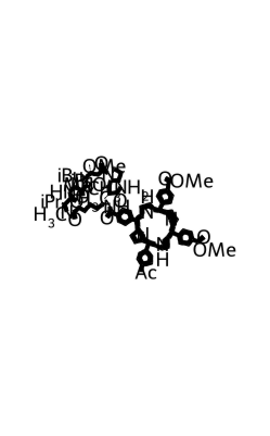 CC[C@H](C)[C@@H]([C@@H](CC(=O)N1CCCC1[C@H](OC)[C@@H](C)C(N)=O)OC)N(C)C(=O)[C@@H](NC(=O)[C@H](C(C)C)N(C)C(=O)CCCCCNC(=O)c1ccc(-c2c3nc(c(-c4ccc(C(C)=O)cc4)c4ccc([nH]4)c(-c4ccc(C(=O)OC)cc4)c4nc(c(-c5ccc(C(=O)OC)cc5)c5ccc2[nH]5)C=C4)C=C3)cc1)C(C)C